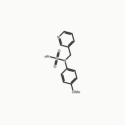 CCCS(=O)(=O)N(Cc1cccnc1)c1ccc(OC)cc1